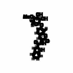 CO[C@@H]1[C@@H](O)[C@@H](O)[C@H](Oc2ccc3cc(NC(=O)C4Cc5ccccc5N4)c(=O)oc3c2C)OC1(C)C